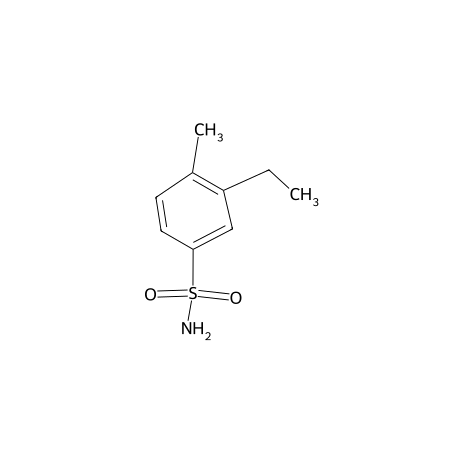 CCc1cc(S(N)(=O)=O)ccc1C